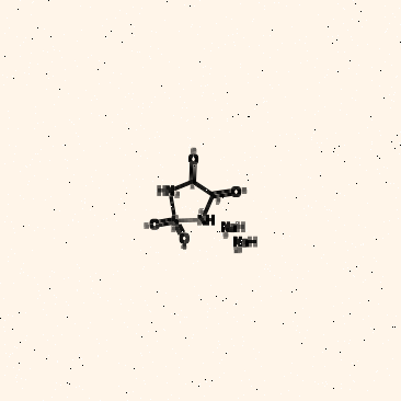 O=C1NS(=O)(=O)NC1=O.[NaH].[NaH]